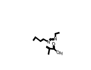 C=C(C)C(=O)O.CCCCN=C=NCC